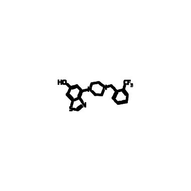 Oc1cc(N2CCN(Cc3ccccc3C(F)(F)F)CC2)c2ncsc2c1